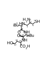 CCC(C)C(NCC(N)CS)C(=O)NC(C(=O)NC(CCO)C(=O)O)C(C)CC